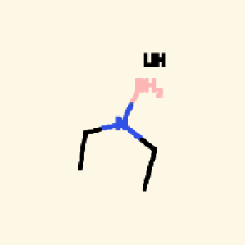 BN(CC)CC.[LiH]